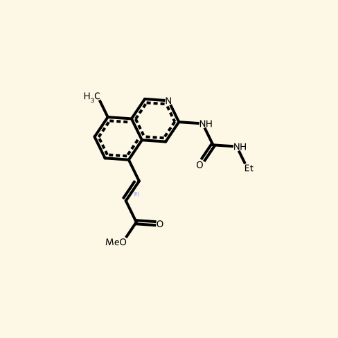 CCNC(=O)Nc1cc2c(/C=C/C(=O)OC)ccc(C)c2cn1